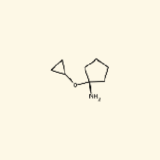 NC1(OC2CC2)CCCC1